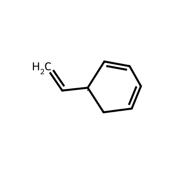 C=C[C]1C=CC=CC1